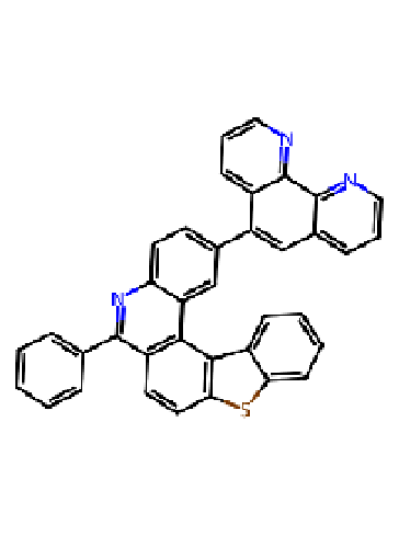 c1ccc(-c2nc3ccc(-c4cc5cccnc5c5ncccc45)cc3c3c2ccc2sc4ccccc4c23)cc1